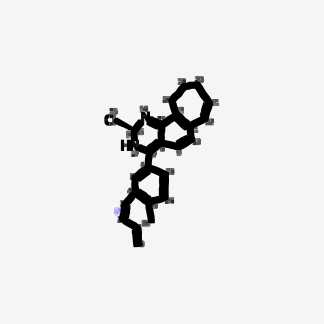 C=C/C=C\c1cc(C2=c3ccc4c(c3=N[C@H](Cl)N2)CCCC=C4)ccc1C